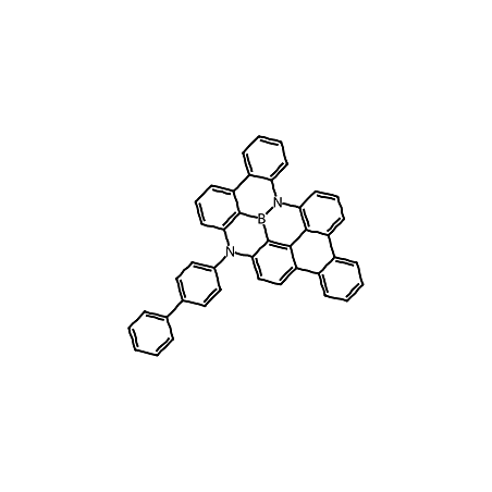 c1ccc(-c2ccc(N3c4cccc5c4B4c6c3ccc3c7ccccc7c7cccc(c7c63)N4c3ccccc3-5)cc2)cc1